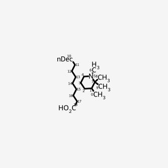 CC1CCCN(C)C1(C)C.CCCCCCCCCCCCCCCCCC(=O)O